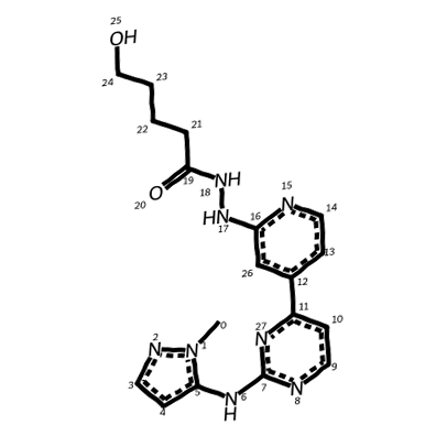 Cn1nccc1Nc1nccc(-c2ccnc(NNC(=O)CCCCO)c2)n1